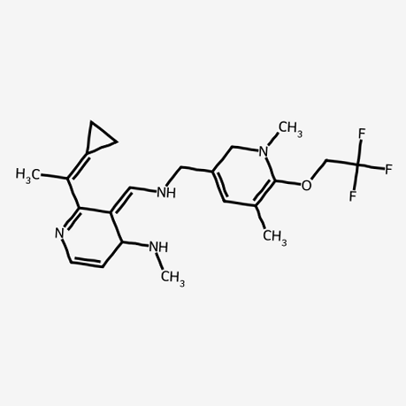 CNC1C=CN=C(C(C)=C2CC2)/C1=C/NCC1=CC(C)=C(OCC(F)(F)F)N(C)C1